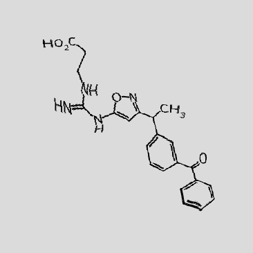 CC(c1cccc(C(=O)c2ccccc2)c1)c1cc(NC(=N)NCCC(=O)O)on1